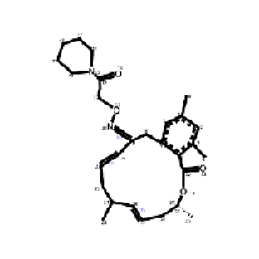 Cc1cc(C)c2c(c1)CC(=N\OCC(=O)N1CCCCC1)/C=C/CC(C)/C=C/C[C@@H](C)OC2=O